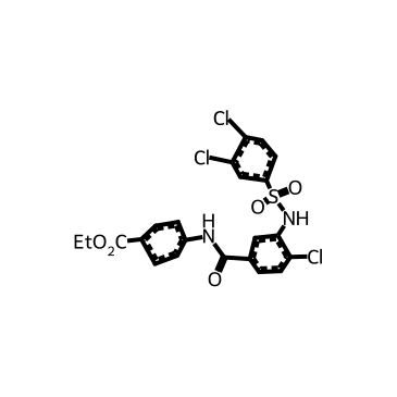 CCOC(=O)c1ccc(NC(=O)c2ccc(Cl)c(NS(=O)(=O)c3ccc(Cl)c(Cl)c3)c2)cc1